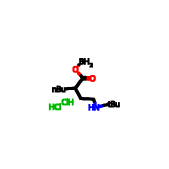 BOC(=O)C(CCCC)CCNC(C)(C)C.Cl.Cl